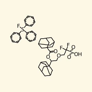 FS(c1ccccc1)(c1ccccc1)c1ccccc1.O=C(OC(COCC(F)(F)S(=O)(=O)O)C12CC3CC(CC(C3)C1)C2)C12CC3CC(CC(C3)C1)C2